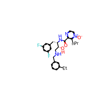 CCCc1c(C(=O)N[C@@H](Cc2cc(F)cc(F)c2)[C@H](O)CNCc2cccc(CC)c2)ncc[n+]1[O-]